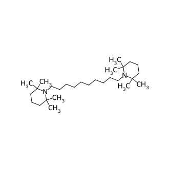 CC1(C)CCCC(C)(C)N1CCCCCCCCCCN1C(C)(C)CCCC1(C)C